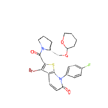 O=C(c1sc2c(ccc(=O)n2-c2ccc(F)cc2)c1Br)N1CCC[C@@H]1COC1CCCCO1